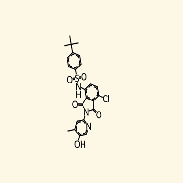 Cc1cc(N2C(=O)c3c(Cl)ccc(NS(=O)(=O)c4ccc(C(C)(C)C)cc4)c3C2=O)ncc1O